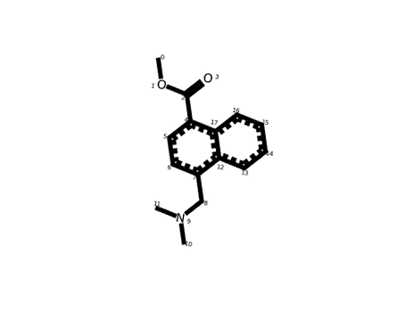 COC(=O)c1ccc(CN(C)C)c2ccccc12